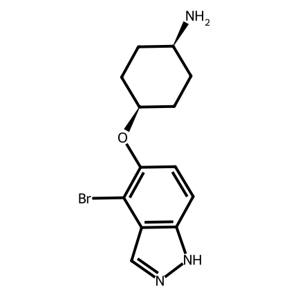 N[C@H]1CC[C@@H](Oc2ccc3[nH]ncc3c2Br)CC1